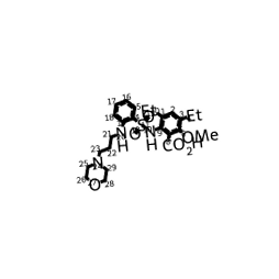 CCc1cc(CC)c(OC)c(C(=O)O)c1NS(=O)(=O)c1ccccc1NCCCN1CCOCC1